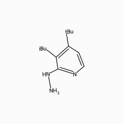 CCC(C)c1c(C(C)(C)C)ccnc1NN